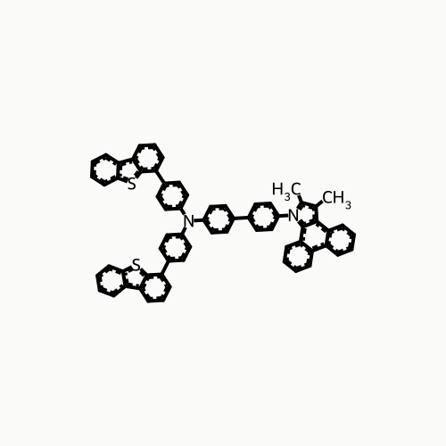 Cc1c(C)n(-c2ccc(-c3ccc(N(c4ccc(-c5cccc6c5sc5ccccc56)cc4)c4ccc(-c5cccc6c5sc5ccccc56)cc4)cc3)cc2)c2c3ccccc3c3ccccc3c12